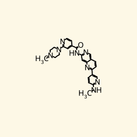 CNc1ccc(-c2ccc3cnc(NC(=O)c4ccnc(N5CCN(C)CC5)c4)cc3n2)cn1